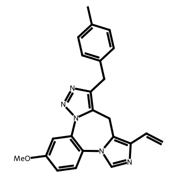 C=Cc1ncn2c1Cc1c(Cc3ccc(C)cc3)nnn1-c1cc(OC)ccc1-2